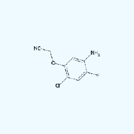 N#CCOc1cc(N)c(F)cc1Cl